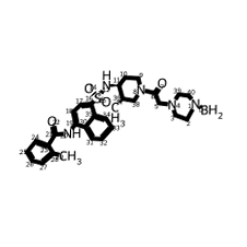 BN1CCN(CC(=O)N2CC[C@H](NS(=O)(=O)c3ccc(NC(=O)c4ccccc4C)c4ccccc34)[C@H](C)C2)CC1